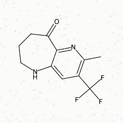 Cc1nc2c(cc1C(F)(F)F)NCCCC2=O